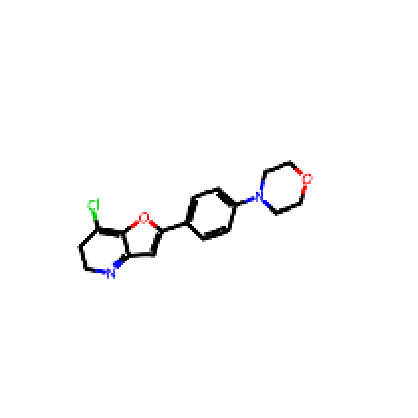 ClC1=c2oc(-c3ccc(N4CCOCC4)cc3)cc2=NCC1